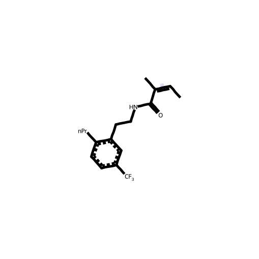 C/C=C(/C)C(=O)NCCc1cc(C(F)(F)F)ccc1CCC